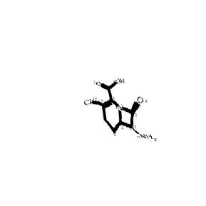 N[C@@H]1C(=O)N2C(C(=O)O)=C(Cl)CCC12